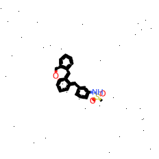 CS(=O)(=O)Nc1cccc(/C=c2\cccc3c2=Cc2ccccc2CO3)c1